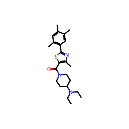 CCN(CC)C1CCN(C(=O)c2sc(-c3cc(C)c(C)cc3C)nc2C)CC1